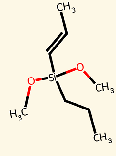 CC=C[Si](CCC)(OC)OC